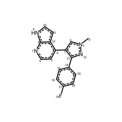 Cn1cc(-c2ccnc3[nH]ccc23)c(-c2ccc(F)cc2)n1